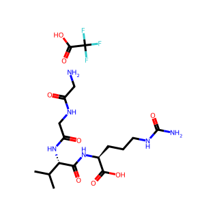 CC(C)[C@H](NC(=O)CNC(=O)CN)C(=O)N[C@@H](CCCNC(N)=O)C(=O)O.O=C(O)C(F)(F)F